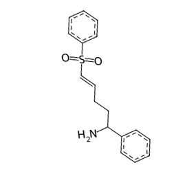 NC(CCC=CS(=O)(=O)c1ccccc1)c1ccccc1